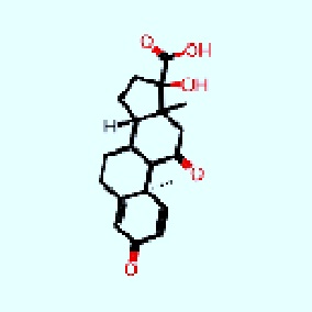 CC12CC(=O)C3C(CCC4=CC(=O)C=C[C@@]43C)[C@@H]1CC[C@]2(O)C(=O)O